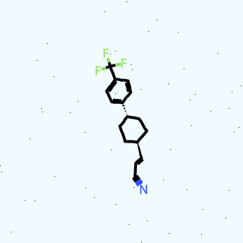 N#CC=C[C@H]1CC[C@H](c2ccc(C(F)(F)F)cc2)CC1